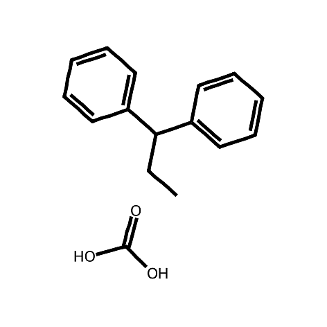 CCC(c1ccccc1)c1ccccc1.O=C(O)O